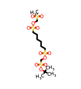 CC(C)(C)OS(=O)(=O)COS(=O)(=O)CCCCCCS(=O)(=O)OCS(C)(=O)=O